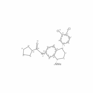 CN[C@H]1CC[C@@H](c2ccc(Cl)c(Cl)c2)c2ccc(NC(=O)C3CCCC3)cc21